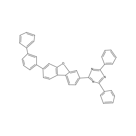 c1ccc(-c2cccc(-c3ccc4c(c3)oc3cc(-c5nc(-c6ccccc6)nc(-c6ccccc6)n5)ccc34)c2)cc1